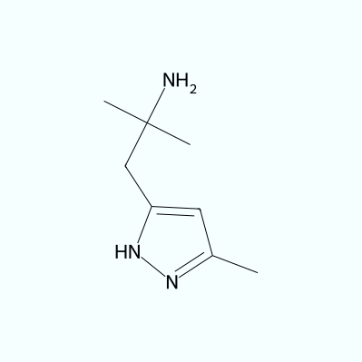 Cc1cc(CC(C)(C)N)[nH]n1